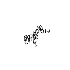 COC(=O)CCCCCN(C(=O)Nc1ccc(C(C)C)cc1)C1Cc2ccc(SC(C)(C)C(=O)O)cc2C1